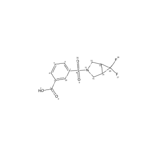 O=C(O)c1cccc(S(=O)(=O)N2CC3C(C2)C3(F)F)c1